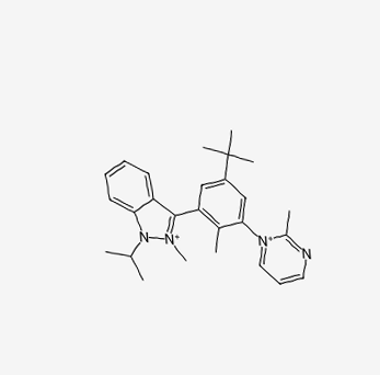 Cc1c(-c2c3ccccc3n(C(C)C)[n+]2C)cc(C(C)(C)C)cc1-[n+]1cccnc1C